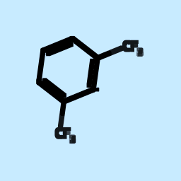 FC(F)(F)c1[c]c(C(F)(F)F)ccc1